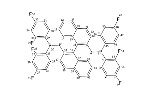 Fc1ccc(P(Cc2ccc3ccccc3c2-c2c(CP(c3ccc(F)cc3F)c3ccc(F)cc3F)ccc3ccccc23)c2ccc(F)cc2F)c(F)c1